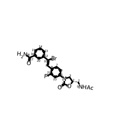 CC(=O)NC[C@H]1CN(c2ccc(C=C(Br)c3cccc(C(N)=O)c3)c(F)c2)C(=O)O1